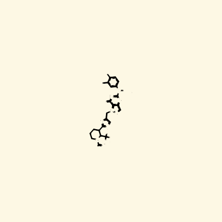 CN(c1ccc(Cl)c(Cl)c1)c1nc2cnn(Cc3coc(C4CCCN(C(=O)O)C4C(C)(C)C)n3)c2c(=O)[nH]1